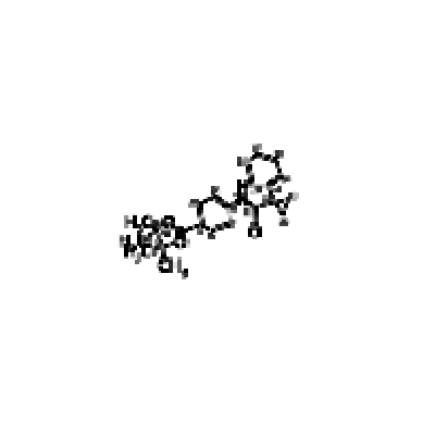 CC1(C)OB(c2ccc(NC(=O)C3(c4ccccc4)CC3)cc2)OC1(C)C